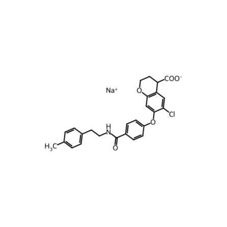 Cc1ccc(CCNC(=O)c2ccc(Oc3cc4c(cc3Cl)C(C(=O)[O-])CCO4)cc2)cc1.[Na+]